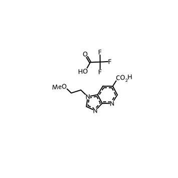 COCCn1cnc2ncc(C(=O)O)cc21.O=C(O)C(F)(F)F